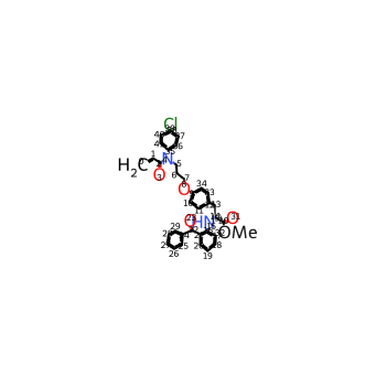 C=CC(=O)N(CCCOc1ccc(C[C@H](Nc2ccccc2C(=O)c2ccccc2)C(=O)OC)cc1)c1ccc(Cl)cc1